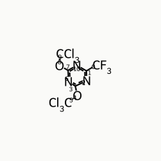 FC(F)(F)c1nc(OC(Cl)(Cl)Cl)nc(OC(Cl)(Cl)Cl)n1